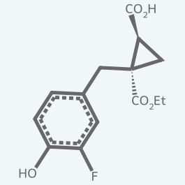 CCOC(=O)[C@@]1(Cc2ccc(O)c(F)c2)C[C@@H]1C(=O)O